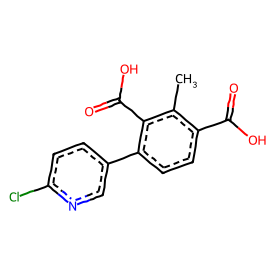 Cc1c(C(=O)O)ccc(-c2ccc(Cl)nc2)c1C(=O)O